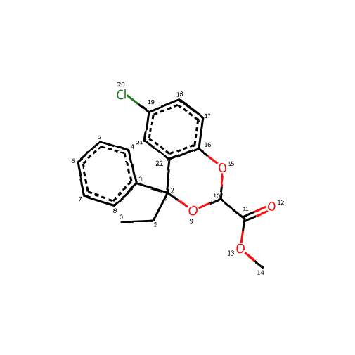 CCC1(c2ccccc2)OC(C(=O)OC)Oc2ccc(Cl)cc21